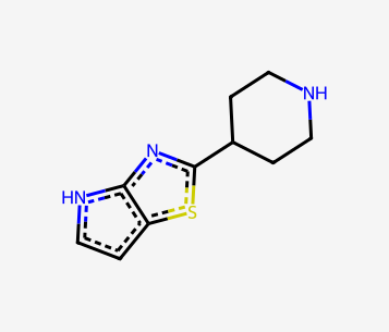 c1cc2sc(C3CCNCC3)nc2[nH]1